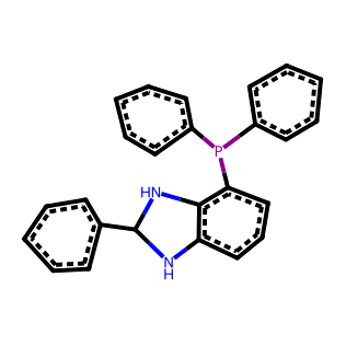 c1ccc(C2Nc3cccc(P(c4ccccc4)c4ccccc4)c3N2)cc1